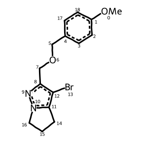 COc1ccc(COCc2nn3c(c2Br)CCC3)cc1